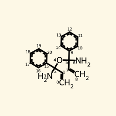 C=CC(N)(OC(N)(C=C)c1ccccc1)c1ccccc1